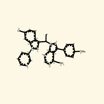 COc1ccc(-c2nn(C(C)c3nn(-c4cccnc4)c4cc(Cl)ccc34)c3ncnc(N)c23)cc1